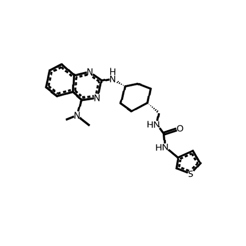 CN(C)c1nc(N[C@H]2CC[C@@H](CNC(=O)Nc3ccsc3)CC2)nc2ccccc12